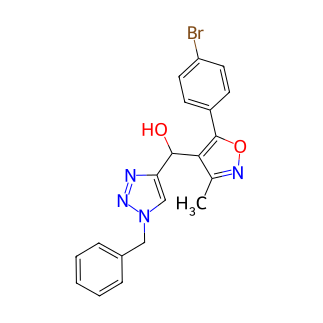 Cc1noc(-c2ccc(Br)cc2)c1C(O)c1cn(Cc2ccccc2)nn1